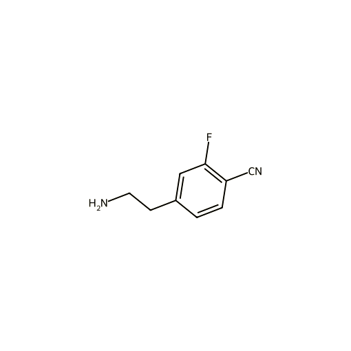 N#Cc1ccc(CCN)cc1F